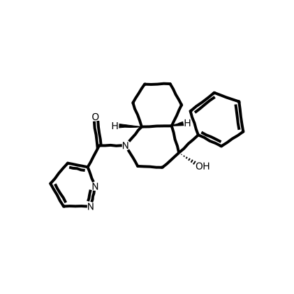 O=C(c1cccnn1)N1CC[C@](O)(c2ccccc2)[C@H]2CCCC[C@H]21